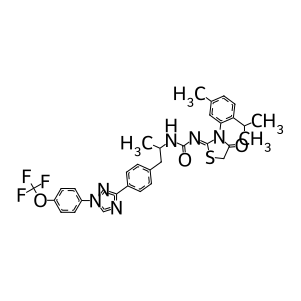 Cc1ccc(C(C)C)c(N2C(=O)CSC2=NC(=O)NC(C)Cc2ccc(-c3ncn(-c4ccc(OC(F)(F)F)cc4)n3)cc2)c1